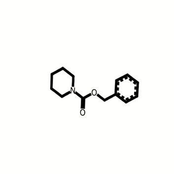 O=C(OCc1ccccc1)N1CCCCC1